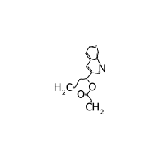 C=CCC(OC(=O)C=C)c1cnc2ccccc2c1